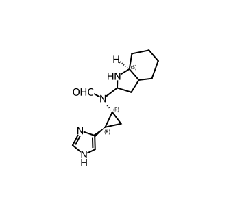 O=CN(C1CC2CCCC[C@@H]2N1)[C@@H]1C[C@H]1c1c[nH]cn1